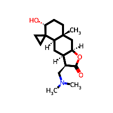 CN(C)C[C@@H]1C(=O)O[C@@H]2C[C@@]3(C)CC[C@@H](O)C4(CC4)[C@@H]3C[C@H]12